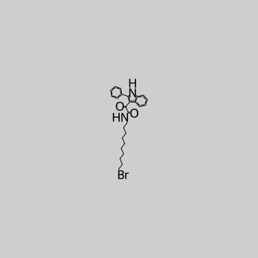 O=C(NCCCCCCCCCCBr)C(=O)c1c(-c2ccccc2)[nH]c2ccccc12